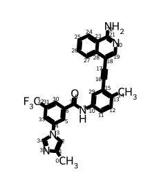 Cc1cn(-c2cc(C(=O)Nc3ccc(C)c(C#Cc4cnc(N)c5ccccc45)c3)cc(C(F)(F)F)c2)cn1